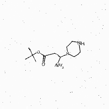 CC(C)(C)OC(=O)CC(N)N1CCNCC1